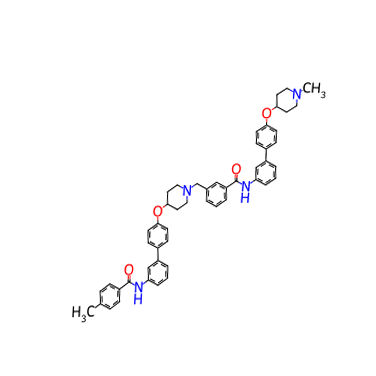 Cc1ccc(C(=O)Nc2cccc(-c3ccc(OC4CCN(Cc5cccc(C(=O)Nc6cccc(-c7ccc(OC8CCN(C)CC8)cc7)c6)c5)CC4)cc3)c2)cc1